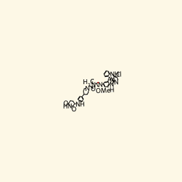 COc1cc(N2CC(N(C)C(=O)CN3CCC(c4ccc(NC5CCC(=O)NC5=O)cc4)CC3)C2)ccc1Nc1ncc(Cl)c(Nc2ccccc2C(C)=O)n1